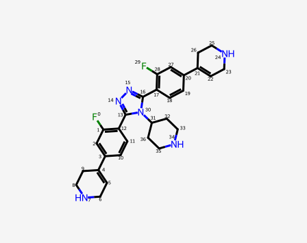 Fc1cc(C2=CCNCC2)ccc1-c1nnc(-c2ccc(C3=CCNCC3)cc2F)n1C1CCNCC1